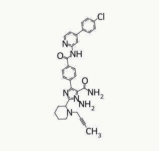 CC#CCN1CCCCC1c1nc(-c2ccc(C(=O)Nc3cc(-c4ccc(Cl)cc4)ccn3)cc2)c(C(N)=O)n1N